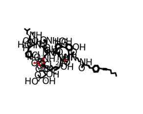 CCCCC#Cc1ccc(/C=C/C(=O)NCCNC(=O)C2NC(=O)[C@H]3NC(=O)[C@H](NC(=O)C4NC(=O)[C@H](CC(N)=O)NC(=O)[C@H](NC(=O)[C@@H](CC(C)C)NC)[C@H](O)c5ccc(c(Cl)c5)Oc5cc4cc(c5O[C@@H]4O[C@H](CO)[C@@H](O)[C@H](O)[C@H]4OC4C[C@](C)(N)[C@H](O)[C@H](C)O4)Oc4ccc(cc4Cl)[C@H]3O)c3ccc(O)c(c3)-c3c(O)cc(O)cc32)cc1